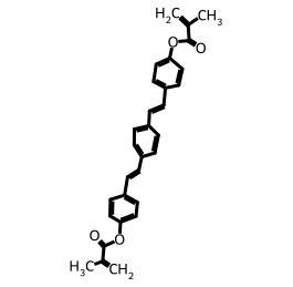 C=C(C)C(=O)Oc1ccc(/C=C/c2ccc(/C=C/c3ccc(OC(=O)C(=C)C)cc3)cc2)cc1